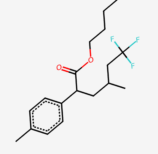 CCCCOC(=O)C(CC(C)CC(F)(F)F)c1ccc(C)cc1